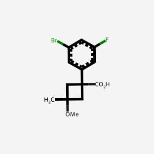 COC1(C)CC(C(=O)O)(c2cc(F)cc(Br)c2)C1